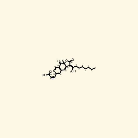 CCCCCCCC(O)=C1C(=O)OC2(C)C(=O)c3cnc(/C=C\C(=O)O)cc3C=C12